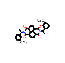 COc1cccc(C(C)N2C(=O)c3ccc4c5c(ccc(c35)C2=O)C(=O)N(C(C)c2cccc(OC)c2)C4=O)c1